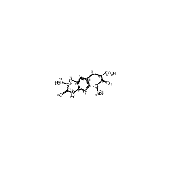 CCC(C)OC(=O)C(Cc1cnc(NC(=O)OC(C)(C)C)c(Cl)c1)C(=O)O